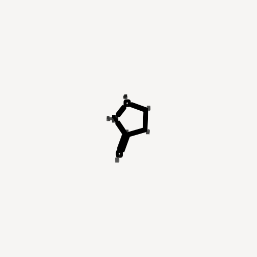 O=C1CCO[N]1